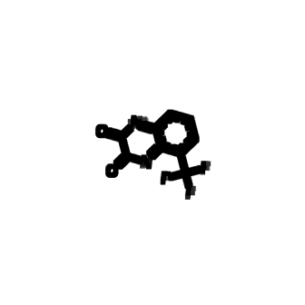 O=C1N=c2c(C(F)(F)F)cccc2=[N+]C1=O